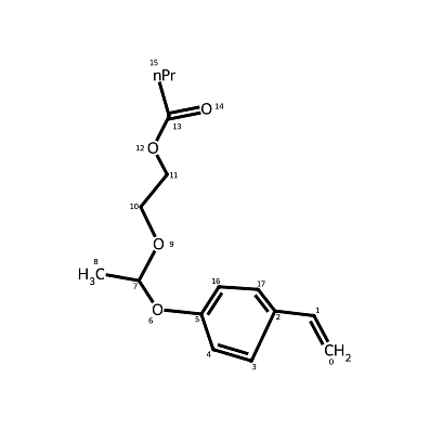 C=Cc1ccc(OC(C)OCCOC(=O)CCC)cc1